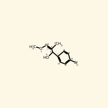 CO/N=C(/C)C(O)c1ccc(Br)cc1